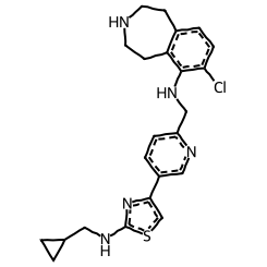 Clc1ccc2c(c1NCc1ccc(-c3csc(NCC4CC4)n3)cn1)CCNCC2